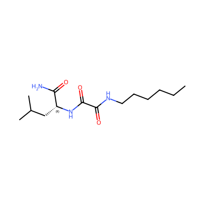 CCCCCCNC(=O)C(=O)N[C@H](CC(C)C)C(N)=O